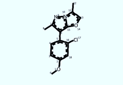 COc1ccc(-c2c(C)nn3c(C)coc23)c(Cl)c1